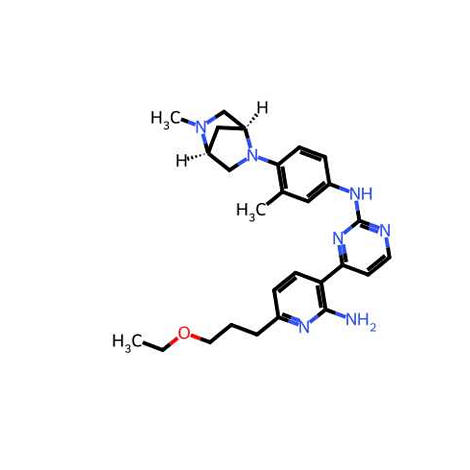 CCOCCCc1ccc(-c2ccnc(Nc3ccc(N4C[C@@H]5C[C@H]4CN5C)c(C)c3)n2)c(N)n1